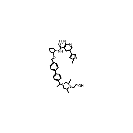 CC(c1ccc(-c2ccc(CO[C@H]3CCC[C@@H]3NC(=O)c3cc(-c4cnn(C)c4)cnc3N)cc2)cc1)N1CC(C)N(CCO)C(C)C1